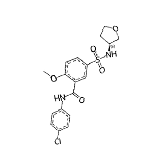 COc1ccc(S(=O)(=O)N[C@H]2CCOC2)cc1C(=O)Nc1ccc(Cl)cc1